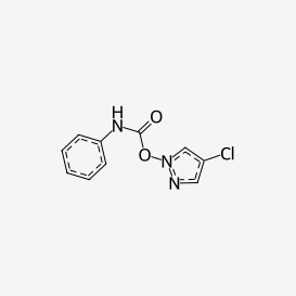 O=C(Nc1ccccc1)On1cc(Cl)cn1